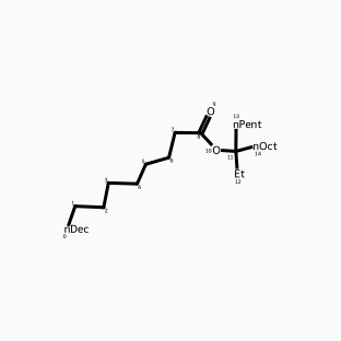 CCCCCCCCCCCCCCCCCC(=O)OC(CC)(CCCCC)CCCCCCCC